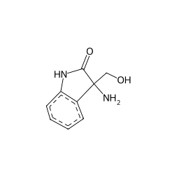 NC1(CO)C(=O)Nc2ccccc21